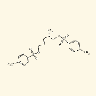 Cc1ccc(S(=O)(=O)OCCC[C@H](C)COS(=O)(=O)c2ccc(C)cc2)cc1